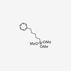 CO[Si](CCCCCc1ccccc1)(OC)OC